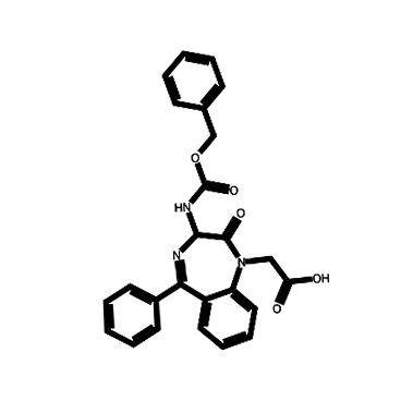 O=C(O)CN1C(=O)C(NC(=O)OCc2ccccc2)N=C(c2ccccc2)c2ccccc21